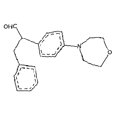 O=CC(Cc1ccccc1)c1ccc(N2CCOCC2)cc1